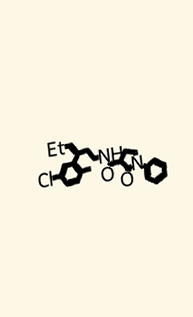 CC/C=C(/CCNC(=O)C1CCN(c2ccccc2)C1=O)c1cc(Cl)ccc1C